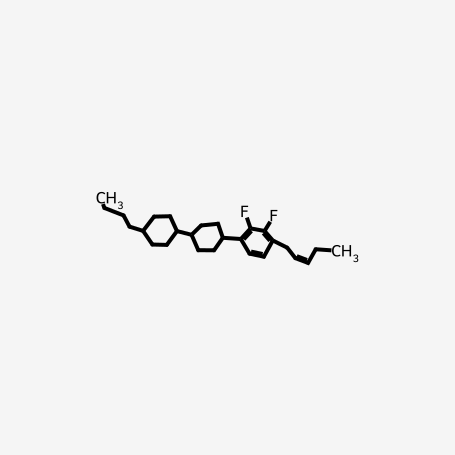 CC/C=C\Cc1ccc(C2CCC(C3CCC(CCCC)CC3)CC2)c(F)c1F